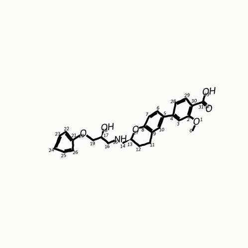 COc1cc(-c2ccc3c(c2)CC[C@@H](CNC[C@H](O)COc2ccccc2)O3)ccc1C(=O)O